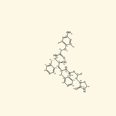 Cc1cc(N)cc(C)c1OCC(=O)N[C@@H](Cc1ccccc1)[C@@H](O)C[C@H](Cc1ccccc1)NC(=O)CC(C)CN1CCNC1=O